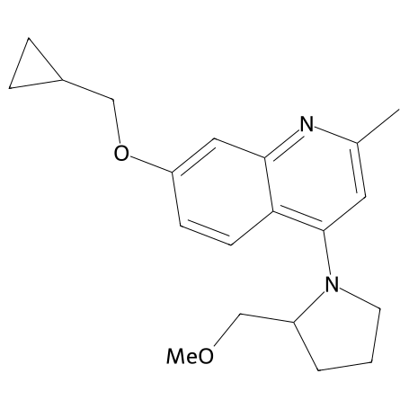 COCC1CCCN1c1cc(C)nc2cc(OCC3CC3)ccc12